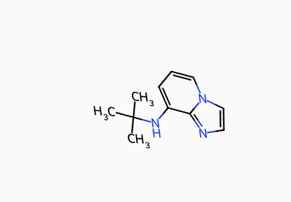 CC(C)(C)Nc1cccn2ccnc12